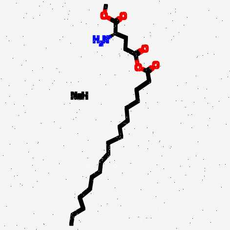 CCCCCCCCCCCCCCCCCC(=O)OC(=O)CC[C@H](N)C(=O)OC.[NaH]